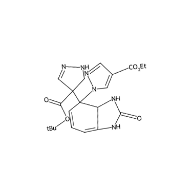 CCOC(=O)c1cnn(C2(C3(C(=O)OC(C)(C)C)C=NNC3)C=CC=C3NC(=O)NC32)c1